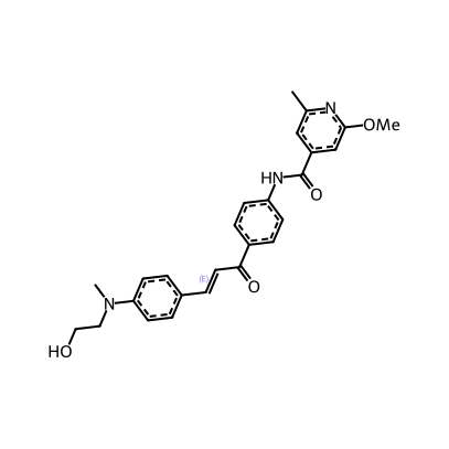 COc1cc(C(=O)Nc2ccc(C(=O)/C=C/c3ccc(N(C)CCO)cc3)cc2)cc(C)n1